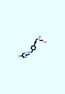 CCN(CC#CC1CCC(CNCc2ncc(Cl)cn2)CC1)CCO